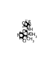 CC(c1ccncc1Cl)N(C)C(=O)NC1COCC1(F)F